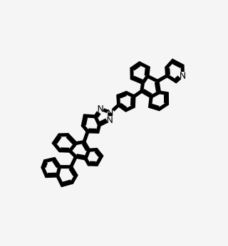 c1cncc(-c2c3ccccc3c(-c3ccc(-n4nc5ccc(-c6c7ccccc7c(-c7cccc8ccccc78)c7ccccc67)cc5n4)cc3)c3ccccc23)c1